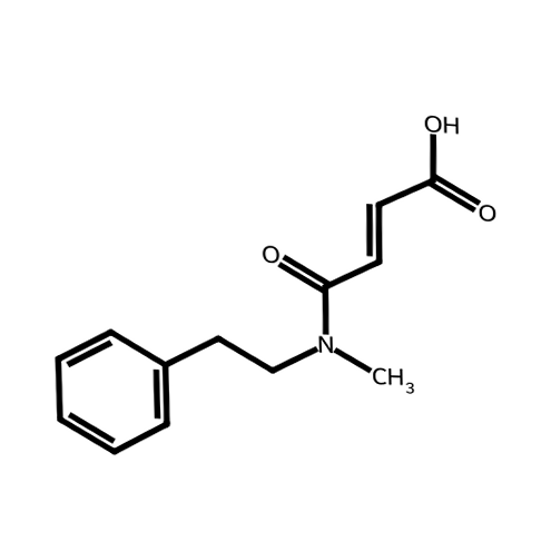 CN(CCc1ccccc1)C(=O)/C=C/C(=O)O